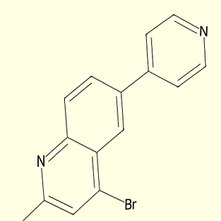 Cc1cc(Br)c2cc(-c3ccncc3)ccc2n1